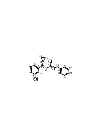 O=C(C[C@H](c1cccc(O)c1)C1CC1)OCc1ccccc1